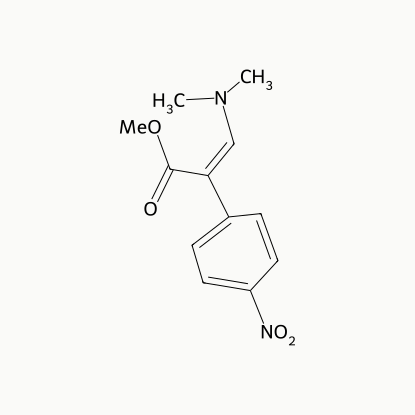 COC(=O)C(=CN(C)C)c1ccc([N+](=O)[O-])cc1